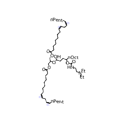 CCCCC/C=C\C/C=C\CCCCCCCC(=O)OCC(COC(=O)CCCCCCC/C=C\C/C=C\CCCCC)OC(O)CCC(CCCCCCCC)OC(=O)NCCN(CC)CC